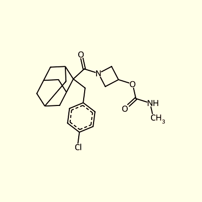 CNC(=O)OC1CN(C(=O)C2(Cc3ccc(Cl)cc3)C3CC4CC(C3)CC2C4)C1